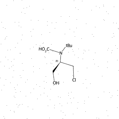 CC(C)(C)N(C(=O)O)[C@H](CO)CCl